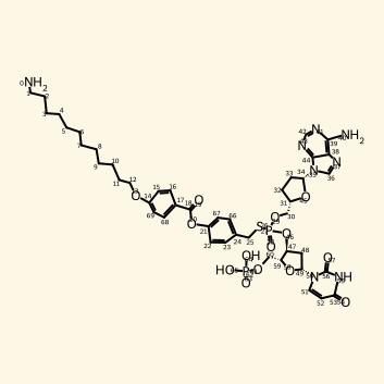 NCCCCCCCCCCCCOc1ccc(C(=O)Oc2ccc(CSP(=O)(OC[C@@H]3CC[C@H](n4cnc5c(N)ncnc54)O3)O[C@H]3C[C@H](n4ccc(=O)[nH]c4=O)O[C@@H]3COP(=O)(O)O)cc2)cc1